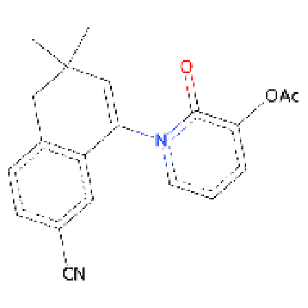 CC(=O)Oc1cccn(C2=CC(C)(C)Cc3ccc(C#N)cc32)c1=O